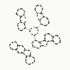 c1ccc2cc3c(cc2c1)c1ccccc1n3-c1cc(-c2nc(-c3cccc4c3oc3ccccc34)nc(-c3cccc4c3oc3ccccc34)n2)c2c(c1)oc1c3ccccc3ccc12